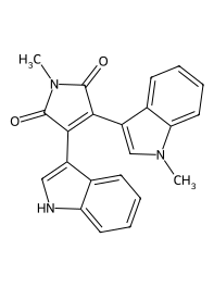 CN1C(=O)C(c2c[nH]c3ccccc23)=C(c2cn(C)c3ccccc23)C1=O